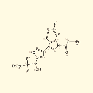 CCOC(=O)C(F)(F)C(O)c1cc(-c2cn(C(=O)OC(C)(C)C)c3cc(F)ccc23)co1